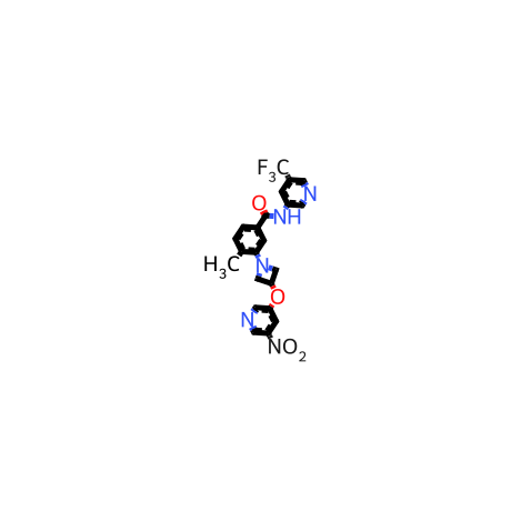 Cc1ccc(C(=O)Nc2cncc(C(F)(F)F)c2)cc1N1CC(Oc2cncc([N+](=O)[O-])c2)C1